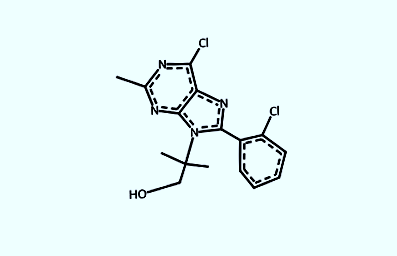 Cc1nc(Cl)c2nc(-c3ccccc3Cl)n(C(C)(C)CO)c2n1